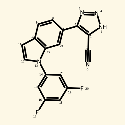 N#Cc1[nH]nnc1-c1ccc2ccn(-c3cc(F)cc(F)c3)c2c1